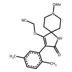 CON1CCC2(CC1)NC(=O)C(c1cc(C)ccc1C)=C2OCC#N